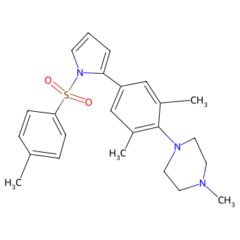 Cc1ccc(S(=O)(=O)n2cccc2-c2cc(C)c(N3CCN(C)CC3)c(C)c2)cc1